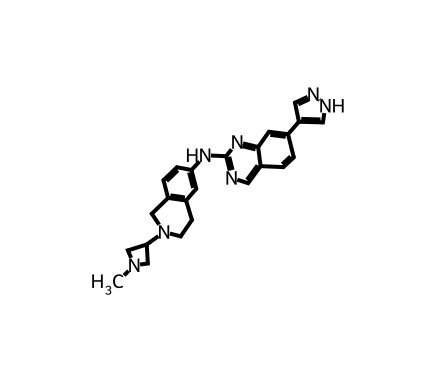 CN1CC(N2CCc3cc(Nc4ncc5ccc(-c6cn[nH]c6)cc5n4)ccc3C2)C1